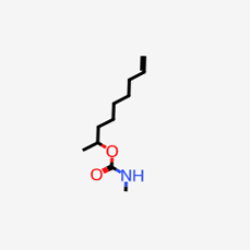 C=CCCCCCC(C)OC(=O)NC